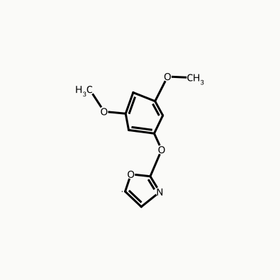 COc1cc(OC)cc(Oc2nc[c]o2)c1